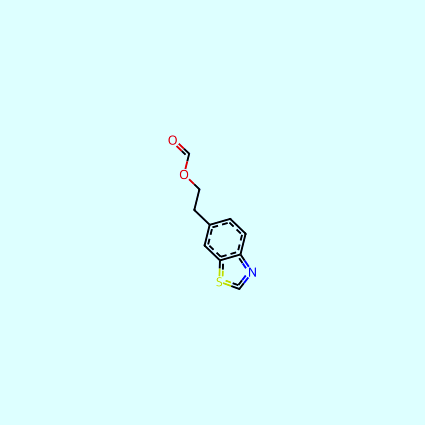 O=COCCc1ccc2ncsc2c1